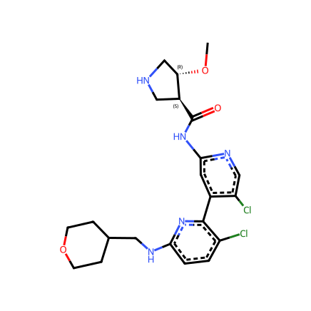 CO[C@H]1CNC[C@@H]1C(=O)Nc1cc(-c2nc(NCC3CCOCC3)ccc2Cl)c(Cl)cn1